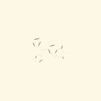 O=c1[nH]c(=O)c2ccc(C(c3ccccc3)n3ccnc3)cc2[nH]1